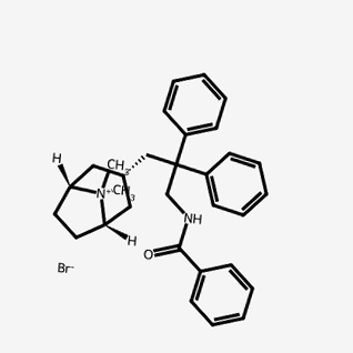 C[N+]1(C)[C@@H]2CC[C@H]1C[C@@H](CC(CNC(=O)c1ccccc1)(c1ccccc1)c1ccccc1)C2.[Br-]